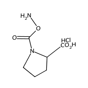 Cl.NOC(=O)N1CCCC1C(=O)O